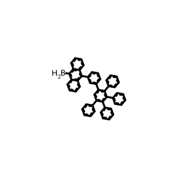 Bc1c2ccccc2c(-c2cccc(-c3cc(-c4ccccc4)c(-c4ccccc4)c(-c4ccccc4)c3-c3ccccc3)c2)c2ccccc12